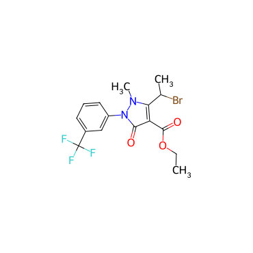 CCOC(=O)c1c(C(C)Br)n(C)n(-c2cccc(C(F)(F)F)c2)c1=O